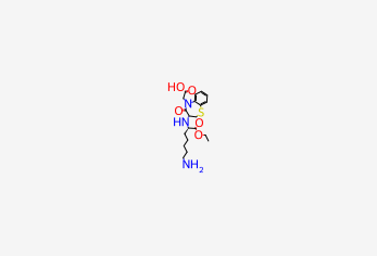 CCOC(=O)[C@@H](CCCCCN)NC1CSc2ccccc2N(CC(=O)O)C1=O